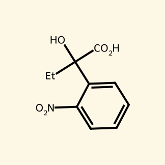 CCC(O)(C(=O)O)c1ccccc1[N+](=O)[O-]